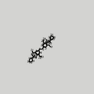 CCc1cc(CCc2cc(CC)c(N=C(C)C3CCCC3)c(CC)c2)cc(CC)c1N=C(C)C1CCCC1